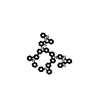 c1ccc(-n2c3ccccc3c3cc(-c4ccc5c(c4)c4cc(-c6ccc7c(c6)c6cc(-c8ccc9c(c8)c8ccccc8n9-c8ccccc8)ccc6n7-c6cccc7c6sc6c8ccccc8c8nc9ccccc9n8c76)ccc4n5-c4ccc5nc6c7ccccc7c7sc8ccccc8c7n6c5c4)ccc32)cc1